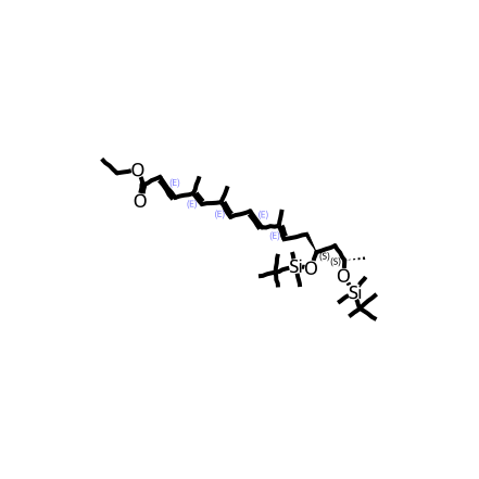 CCOC(=O)/C=C/C(C)=C/C(C)=C/C=C/C(C)=C/C[C@@H](C[C@H](C)O[Si](C)(C)C(C)(C)C)O[Si](C)(C)C(C)(C)C